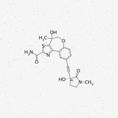 CN1CC[C@@](O)(C#Cc2ccc3c(c2)-c2nc(C(N)=O)sc2C(C)(O)CO3)C1=O